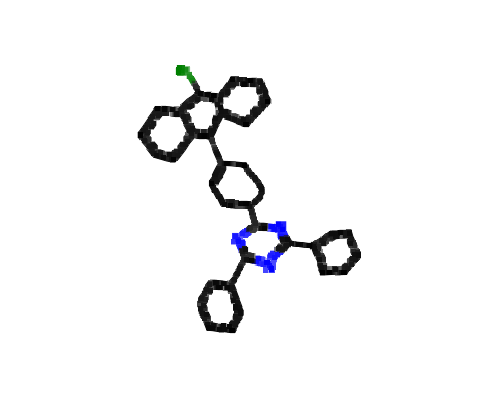 Brc1c2ccccc2c(C2=CC=C(c3nc(-c4ccccc4)nc(-c4ccccc4)n3)CC2)c2ccccc12